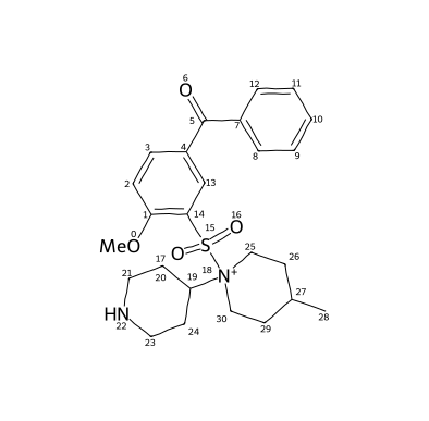 COc1ccc(C(=O)c2ccccc2)cc1S(=O)(=O)[N+]1(C2CCNCC2)CCC(C)CC1